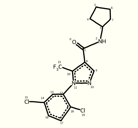 O=C(NC1CCCC1)c1cnn(-c2cc(Cl)ccc2Cl)c1C(F)(F)F